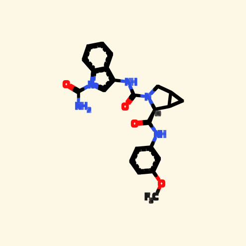 NC(=O)n1cc(NC(=O)N2CC3CC3[C@H]2C(=O)Nc2cccc(OC(F)(F)F)c2)c2ccccc21